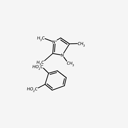 Cc1c[n+](C)c(C)n1C.O=C(O)c1ccccc1C(=O)O